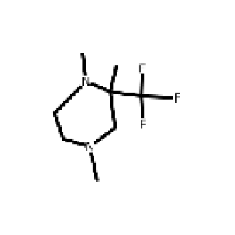 CN1CCN(C)C(C)(C(F)(F)F)C1